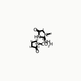 CN1CC(=O)NC1=N.O=C(O)N1CCCC1=O